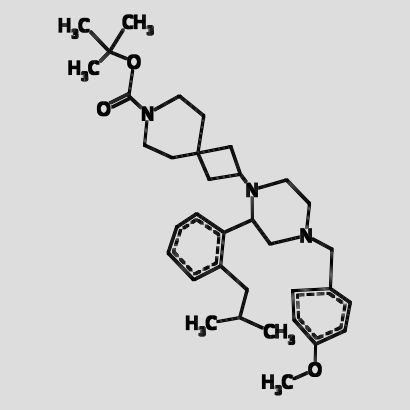 COc1ccc(CN2CCN(C3CC4(CCN(C(=O)OC(C)(C)C)CC4)C3)C(c3ccccc3CC(C)C)C2)cc1